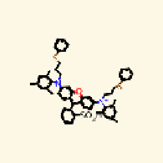 Cc1cc(C)c(N(CCCSc2ccccc2)c2ccc3c(-c4ccccc4S(=O)(=O)O)c4cc/c(=[N+](/CCCSc5ccccc5)c5c(C)cc(C)cc5C)cc-4oc3c2)c(C)c1